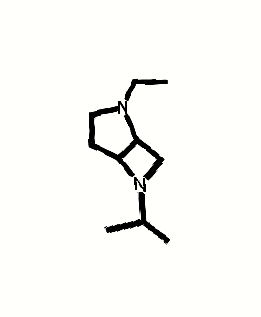 CCN1CCC2C1CN2C(C)C